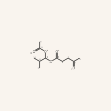 CC(=O)CCC(=O)OC(OC(C)=O)C(C)C